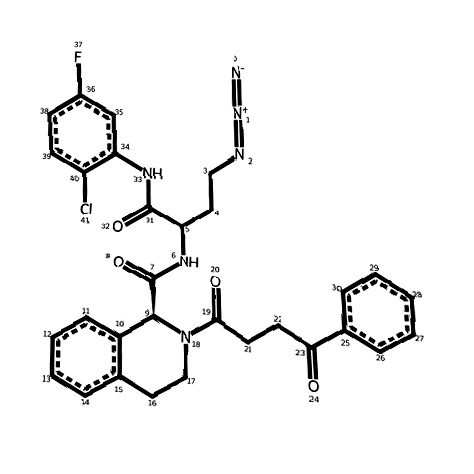 [N-]=[N+]=NCCC(NC(=O)[C@@H]1c2ccccc2CCN1C(=O)CCC(=O)c1ccccc1)C(=O)Nc1cc(F)ccc1Cl